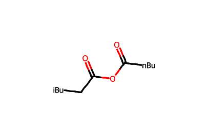 CCCCC(=O)OC(=O)CC(C)CC